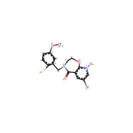 O=C1c2cc(Br)c[n+]([O-])c2OCCN1Cc1cc(OC(F)(F)F)ccc1F